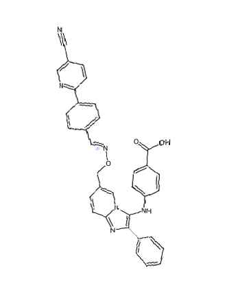 N#Cc1ccc(-c2ccc(/C=N/OCc3ccc4nc(-c5ccccc5)c(Nc5ccc(C(=O)O)cc5)n4c3)cc2)nc1